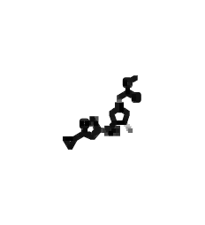 COC(=O)CN1C[C@H](Nc2cc(C3CC3)on2)[C@@H](C)C1